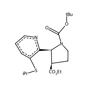 CCOC(=O)[C@@H]1CCN(C(=O)OC(C)(C)C)[C@@H]1c1ncccc1SC(C)C